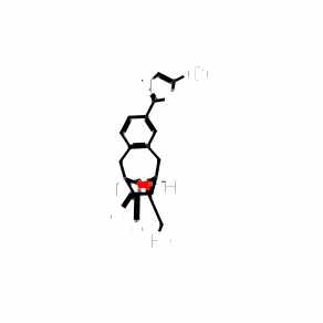 CC(C)(C)c1cnc(-c2ccc3c(c2)C[C@H]2CC[C@@H](C3)[C@]23CN(CC(F)(F)F)S(=O)(=O)N3)s1